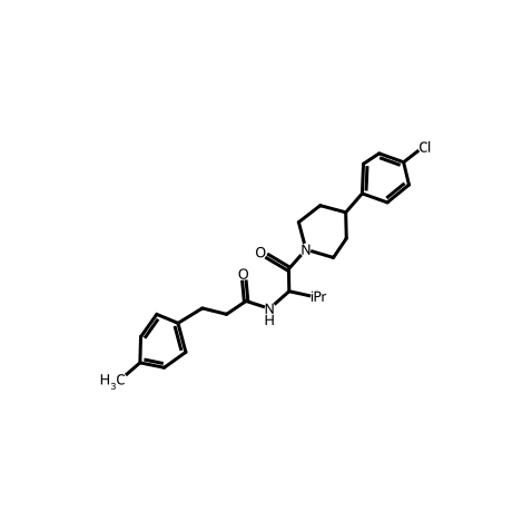 Cc1ccc(CCC(=O)NC(C(=O)N2CCC(c3ccc(Cl)cc3)CC2)C(C)C)cc1